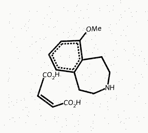 COc1cccc2c1CCNCC2.O=C(O)/C=C\C(=O)O